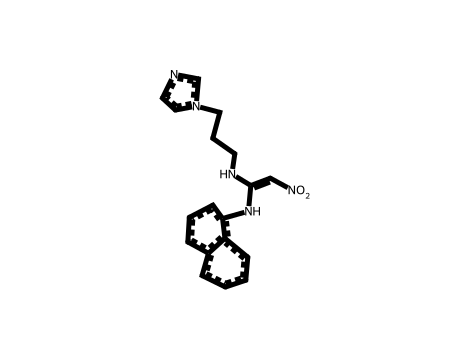 O=[N+]([O-])/C=C(/NCCCn1ccnc1)Nc1cccc2ccccc12